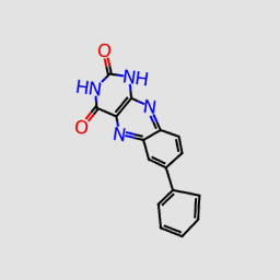 O=c1[nH]c(=O)c2nc3cc(-c4ccccc4)ccc3nc2[nH]1